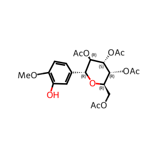 COc1ccc([C@H]2O[C@H](COC(C)=O)[C@@H](OC(C)=O)[C@@H](OC(C)=O)[C@@H]2OC(C)=O)cc1O